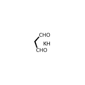 O=CCC=O.[KH]